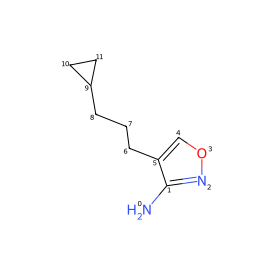 Nc1nocc1CCCC1CC1